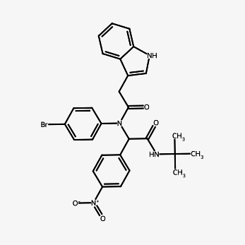 CC(C)(C)NC(=O)C(c1ccc([N+](=O)[O-])cc1)N(C(=O)Cc1c[nH]c2ccccc12)c1ccc(Br)cc1